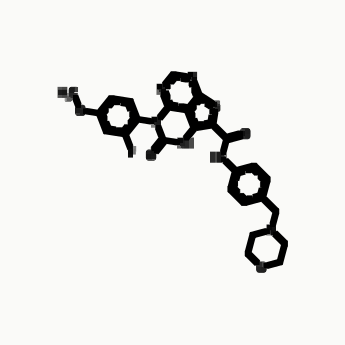 COc1ccc(N2C(=O)Nc3c(C(=O)Nc4ccc(CN5CCOCC5)cc4)sc4ncnc2c34)c(F)c1